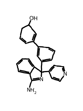 NC1=NC(c2ccncc2)(c2cccc(C3=CC(O)CC=C3)c2)c2ccccc21